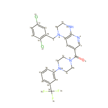 O=C(c1cnc2c(c1)N(Cc1cc(Cl)ccc1Cl)CCN2)N1CCN(c2cccc(C(F)(F)F)c2)CC1